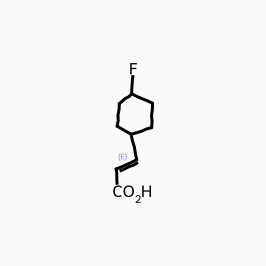 O=C(O)/C=C/C1CCC(F)CC1